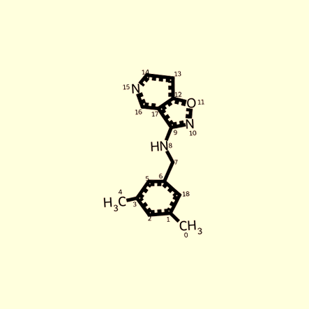 Cc1cc(C)cc(CNc2noc3ccncc23)c1